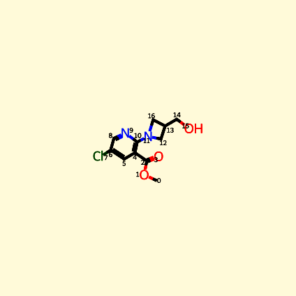 COC(=O)c1cc(Cl)cnc1N1CC(CO)C1